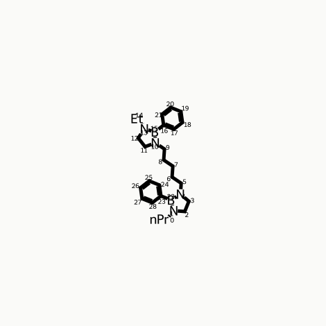 CCCN1CCN(CCCCCN2CCN(CC)B2c2ccccc2)B1c1ccccc1